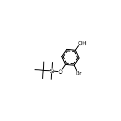 CC(C)(C)[Si](C)(C)Oc1ccc(O)cc1Br